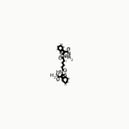 NC(=O)c1c(NC(=O)CCCCC(=O)Nc2sc3c(c2C(N)=O)CCCC3)sc2c1CCCC2